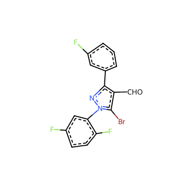 O=Cc1c(-c2cccc(F)c2)nn(-c2cc(F)ccc2F)c1Br